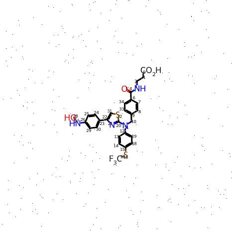 O=C(O)CCNC(=O)c1ccc(CN(c2ccc(SC(F)(F)F)cc2)c2nc(-c3ccc(NO)cc3)cs2)cc1